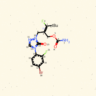 CC(C)(C)/C(F)=C(\COC(N)=O)Cn1ncn(-c2ccc(Br)cc2F)c1=O